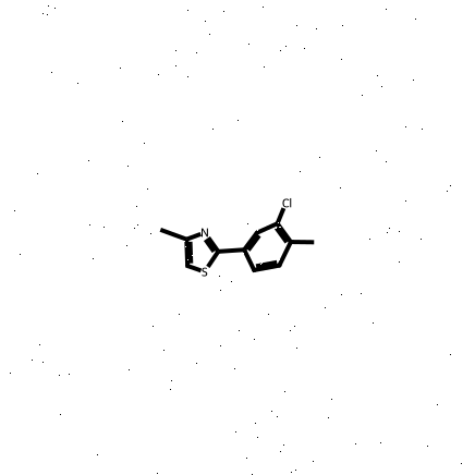 Cc1csc(-c2ccc(C)c(Cl)c2)n1